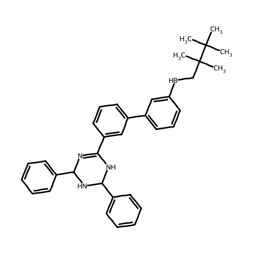 CC(C)(C)C(C)(C)CBc1cccc(-c2cccc(C3=NC(c4ccccc4)NC(c4ccccc4)N3)c2)c1